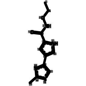 CCONC(=O)c1cc(-c2csc(C)n2)c[nH]1